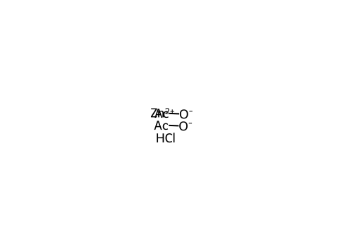 CC(=O)[O-].CC(=O)[O-].Cl.[Zn+2]